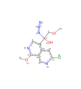 COCC(O)(N=[N+]=[N-])c1cnc(OC)c2cnc(Cl)cc12